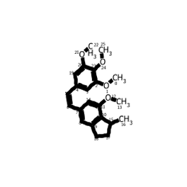 COc1cc(/C=C\c2cc3c(c(OC)c2)C(C)CC3)cc(OC)c1OC